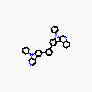 c1ccc(-n2c3ccc(-c4cccc(-c5ccc6c(c5)c5c7ccccc7ncc5n6-c5ccccc5)c4)cc3c3ccncc32)cc1